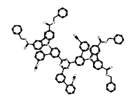 [C-]#[N+]c1cccc(-c2cc(-c3nc(-c4cccc(-c5ccccc5[N+]#[C-])c4)nc(-c4ccc(-n5c6ccc(C(=O)OCc7ccccc7)cc6c6cc(C(=O)OCc7ccccc7)ccc65)c(-c5cccc(C#N)c5)c4)n3)ccc2-n2c3ccc(C(=O)OCc4ccccc4)cc3c3cc(C(=O)OCc4ccccc4)ccc32)c1